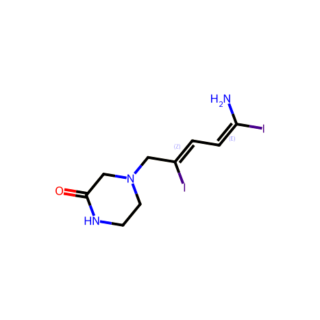 N/C(I)=C\C=C(/I)CN1CCNC(=O)C1